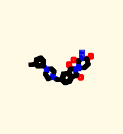 Cc1cccc(N2CCN(Cc3ccc4c(c3)C(=O)N(N3CCC(=O)NC3=O)C4=O)CC2)c1